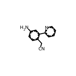 N#CCc1ccc(N)cc1-c1ccccn1